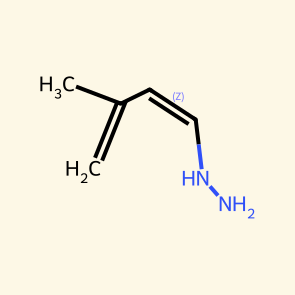 C=C(C)/C=C\NN